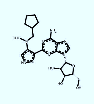 Nc1nc(-c2n[nH]cc2N(C=O)CC2CCCC2)nc2c1ncn2[C@@H]1O[C@H](CO)[C@@H](O)[C@H]1O